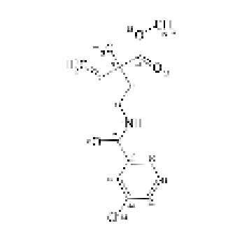 C=CC(C)(CCNC(=O)c1cccc(Cl)c1)C(=O)OC